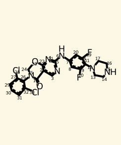 O=C1c2cnc(Nc3cc(F)c(N4CCNCC4)c(F)c3)nc2OCN1c1c(Cl)cccc1Cl